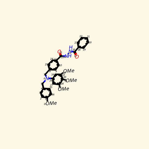 COc1ccc(CN(Cc2ccc(C(=O)NNC(=O)c3ccccc3)cc2)c2cc(OC)c(OC)c(OC)c2)cc1